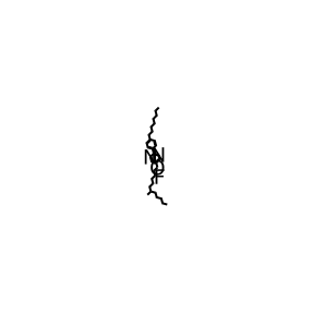 CCCCCCCCc1ccc(-c2ncc(OCC(F)CCCC(C)CCCCC)cn2)cc1